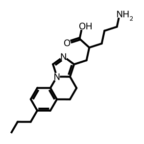 CCCc1ccc2c(c1)CCc1c(CC(CCCN)C(=O)O)ncn1-2